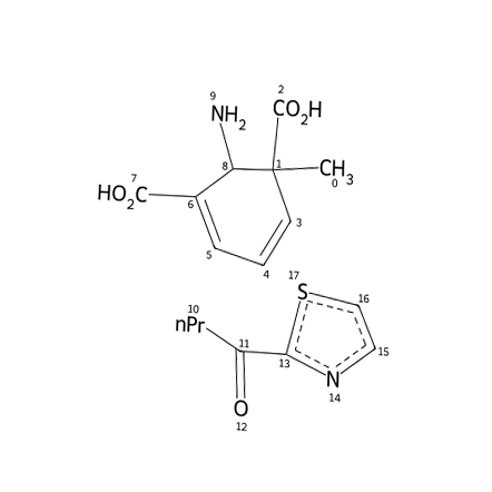 CC1(C(=O)O)C=CC=C(C(=O)O)C1N.CCCC(=O)c1nccs1